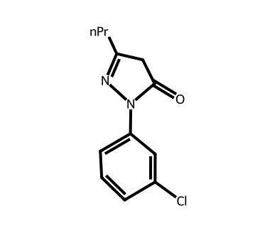 CCCC1=NN(c2cccc(Cl)c2)C(=O)C1